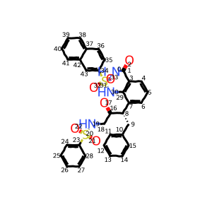 NC(=O)c1cccc([C@H](Cc2ccccc2)C(=O)CNS(=O)(=O)c2ccccc2)c1NS(=O)(=O)c1ccc2ccccc2c1